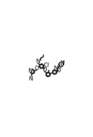 CCCCN(C)Cc1cc(Cl)c(OCc2cccc(-c3ccc4oc(N5CCN(C)CC5)nc4c3)c2C)cc1OCc1cncc(C#N)c1